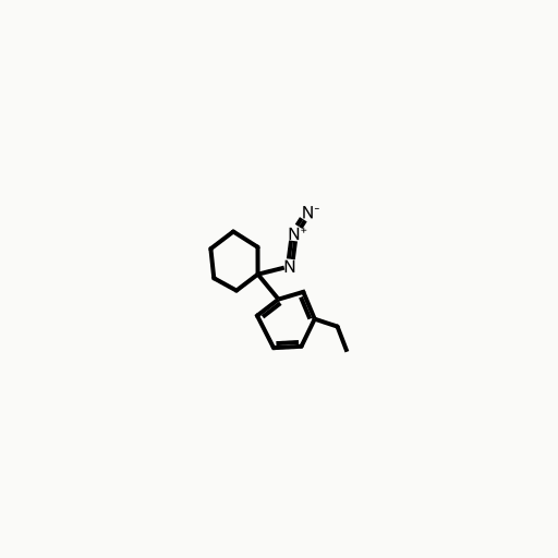 CCc1cccc(C2(N=[N+]=[N-])CCCCC2)c1